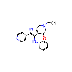 N#CCN1CC(=O)c2c([nH]c(-c3ccncc3)c2Nc2ccccc2)C1